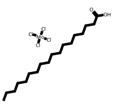 CCCCCCCCCCCCCCCCCC(=O)O.[Cl][Mo]([Cl])([Cl])[Cl]